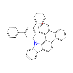 c1ccc(-c2cc(-c3ccccc3)cc(-n3c4ccccc4c4ccc5c6ccccc6c6ccccc6c5c43)c2)cc1